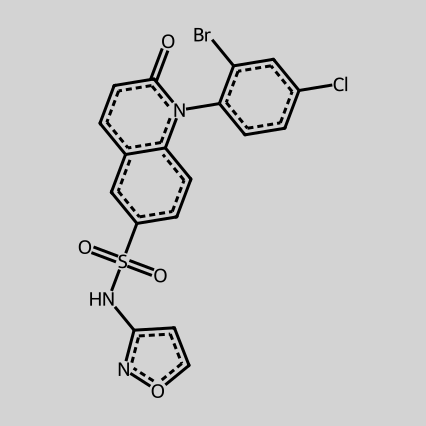 O=c1ccc2cc(S(=O)(=O)Nc3ccon3)ccc2n1-c1ccc(Cl)cc1Br